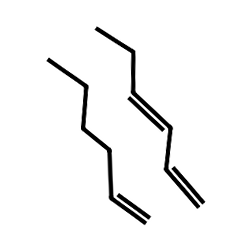 C=CC=CCC.C=CCCCC